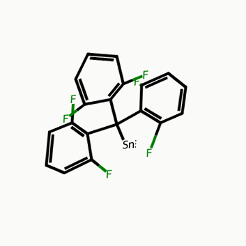 Fc1cccc(F)c1[C]([Sn])(c1c(F)cccc1F)c1c(F)cccc1F